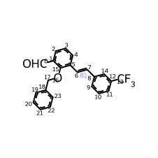 O=Cc1cccc(/C=C/c2cccc(C(F)(F)F)c2)c1OCc1ccccc1